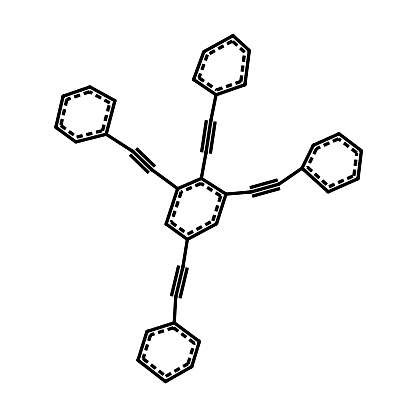 C(#Cc1cc(C#Cc2ccccc2)c(C#Cc2ccccc2)c(C#Cc2ccccc2)c1)c1ccccc1